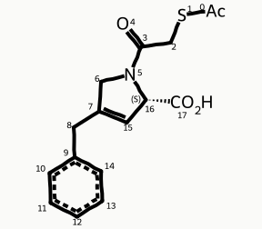 CC(=O)SCC(=O)N1CC(Cc2ccccc2)=C[C@H]1C(=O)O